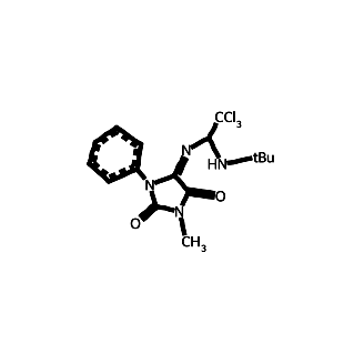 CN1C(=O)C(=NC(NC(C)(C)C)C(Cl)(Cl)Cl)N(c2ccccc2)C1=O